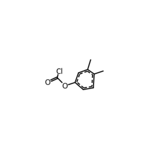 Cc1ccc(OC(=O)Cl)cc1C